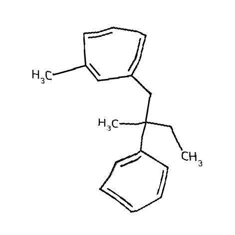 CCC(C)(Cc1cccc(C)c1)c1ccccc1